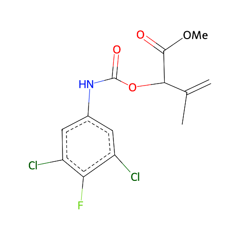 C=C(C)C(OC(=O)Nc1cc(Cl)c(F)c(Cl)c1)C(=O)OC